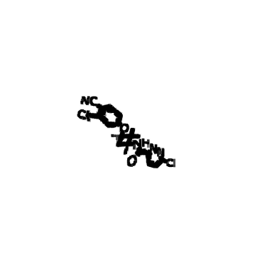 CC1(C)[C@](C)(NC(=O)c2ccc(Cl)nn2)C[C@@]1(C)Oc1ccc(C#N)c(Cl)c1